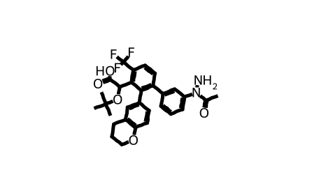 CC(=O)N(N)c1cccc(-c2ccc(C(F)(F)F)c(C(OC(C)(C)C)C(=O)O)c2-c2ccc3c(c2)CCCO3)c1